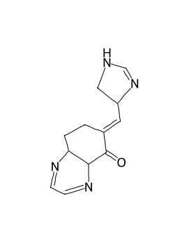 O=C1/C(=C/C2CNC=N2)CCC2N=CC=NC12